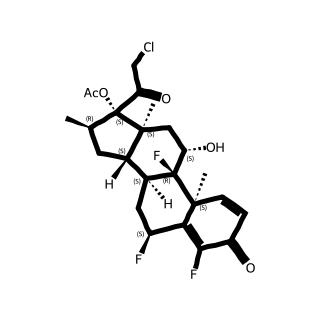 CC(=O)O[C@@]1(C(=O)CCl)[C@H](C)C[C@H]2[C@@H]3C[C@H](F)C4=C(F)C(=O)C=C[C@]4(C)[C@@]3(F)[C@@H](O)C[C@@]21C